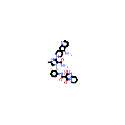 Cc1nc(N2CCC3(CC2)Cc2ncccc2[C@H]3N)c(C(N)=O)nc1Sc1cccc(NC(=O)c2c(O)nc3n(c2=O)CCCC3)c1Cl